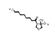 CCCCCCCCC(=O)N1COCC1(C)C